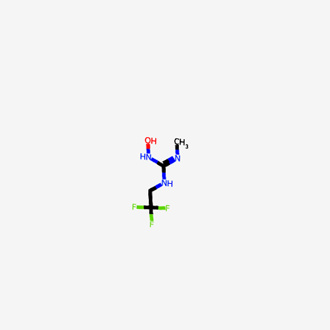 C/N=C(\NO)NCC(F)(F)F